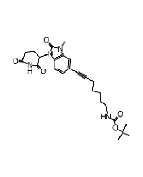 Cn1c(=O)n(C2CCC(=O)NC2=O)c2ccc(C#CCCCCCNC(=O)OC(C)(C)C)cc21